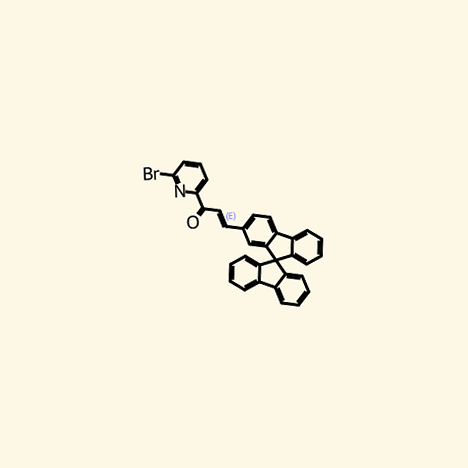 O=C(/C=C/c1ccc2c(c1)C1(c3ccccc3-c3ccccc31)c1ccccc1-2)c1cccc(Br)n1